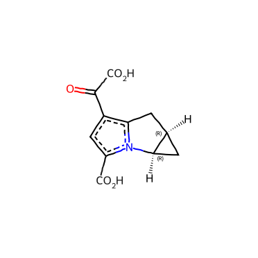 O=C(O)C(=O)c1cc(C(=O)O)n2c1C[C@H]1C[C@H]12